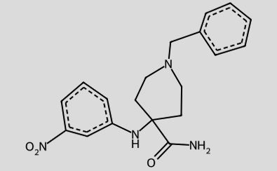 NC(=O)C1(Nc2cccc([N+](=O)[O-])c2)CCN(Cc2ccccc2)CC1